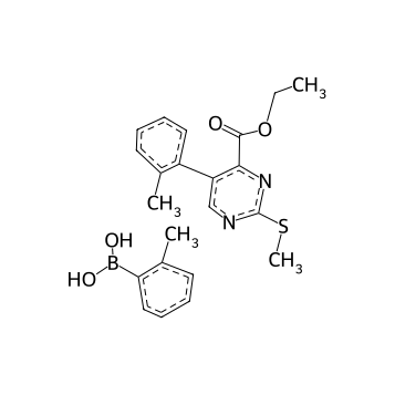 CCOC(=O)c1nc(SC)ncc1-c1ccccc1C.Cc1ccccc1B(O)O